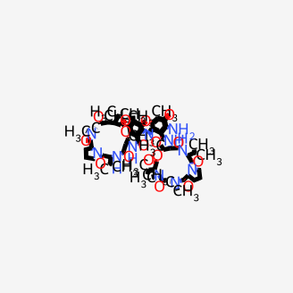 Cc1c2oc3c(C)ccc(C(=O)NC4C(=O)NC(C(C)C)C(=O)N5CCCC5C(=O)N(C)CC(=O)C(C)C(C(C)C)C(=O)OC4C)c3nc-2c(C(=O)NC2C(=O)NC(C(C)C)C(=O)N3CCCC3C(=O)N(C)CC(=O)N(C)C(C(C)C)C(=O)OC2C)c(N)c1=O